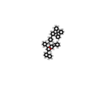 c1ccc(C2(c3ccccc3)c3ccccc3-c3ccc(-c4ccc(N(c5ccccc5-c5cccc(-c6cccc7ccccc67)c5)c5cccc6c5sc5ccccc56)cc4)cc32)cc1